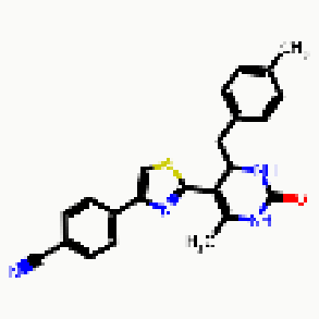 CC1=C(c2nc(-c3ccc(C#N)cc3)cs2)C(Cc2ccc(C)cc2)NC(=O)N1